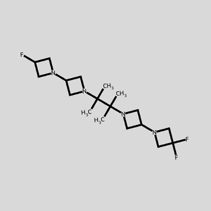 CC(C)(N1CC(N2CC(F)C2)C1)C(C)(C)N1CC(N2CC(F)(F)C2)C1